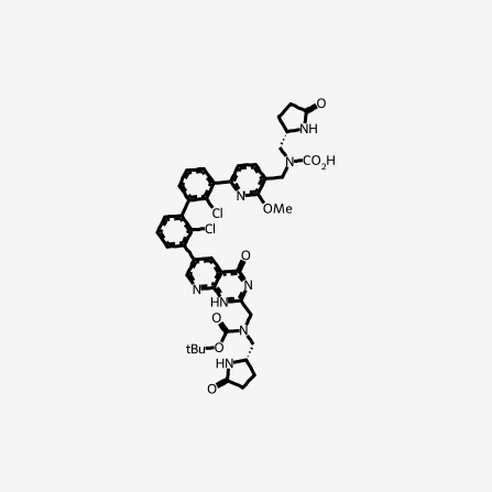 COc1nc(-c2cccc(-c3cccc(-c4cnc5[nH]c(CN(C[C@@H]6CCC(=O)N6)C(=O)OC(C)(C)C)nc(=O)c5c4)c3Cl)c2Cl)ccc1CN(C[C@@H]1CCC(=O)N1)C(=O)O